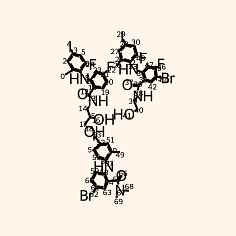 Cc1cc(I)ccc1Nc1c(C(=O)NCC(O)CO)ccc(F)c1F.Cc1cc(I)ccc1Nc1c(C(=O)NCCO)cc(Br)c(F)c1F.Cc1cc(I)ccc1Nc1ccc(Br)cc1C(=O)N(C)C